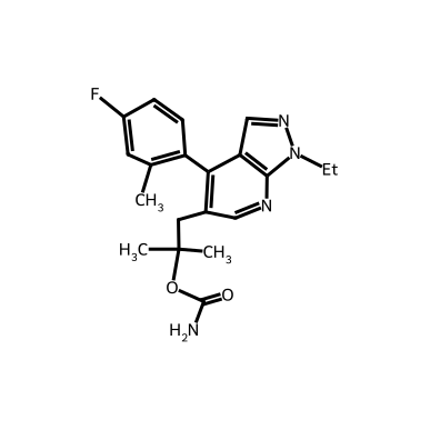 CCn1ncc2c(-c3ccc(F)cc3C)c(CC(C)(C)OC(N)=O)cnc21